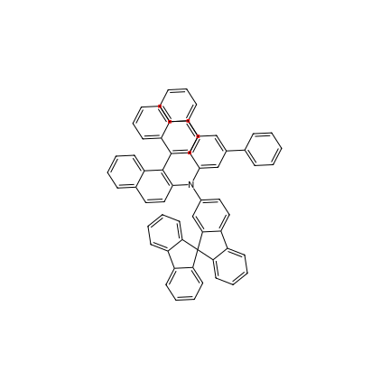 c1ccc(-c2cc(-c3ccccc3)cc(N(c3ccc4c(c3)C3(c5ccccc5-c5ccccc53)c3ccccc3-4)c3ccc4ccccc4c3-c3cccc4ccccc34)c2)cc1